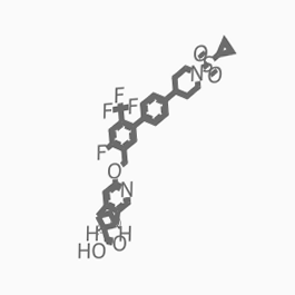 O=C(O)[C@H]1C2C[C@H]1c1cnc(OCc3cc(-c4ccc(C5CCN(S(=O)(=O)C6CC6)CC5)cc4)c(C(F)(F)F)cc3F)cc12